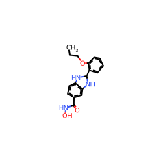 CCCOc1ccccc1C1Nc2ccc(C(=O)NO)cc2N1